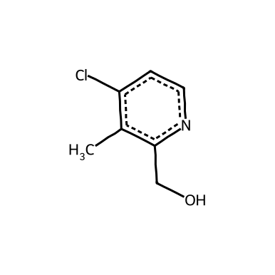 Cc1c(Cl)ccnc1CO